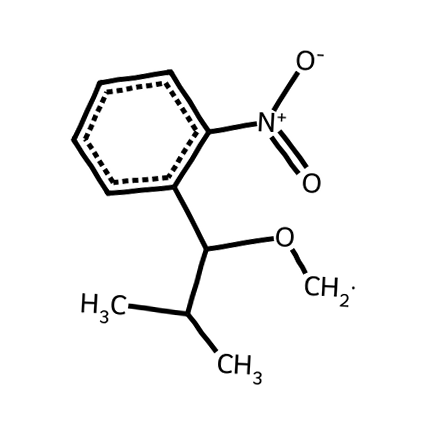 [CH2]OC(c1ccccc1[N+](=O)[O-])C(C)C